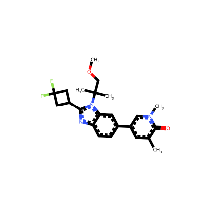 COCC(C)(C)n1c(C2CC(F)(F)C2)nc2ccc(-c3cc(C)c(=O)n(C)c3)cc21